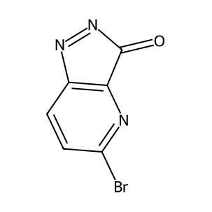 O=C1N=Nc2ccc(Br)nc21